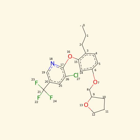 [CH2]CCc1ccc(OCC2CCCO2)cc1Oc1ncc(C(F)(F)F)cc1Cl